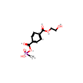 CP(=O)(O)OC(=O)c1ccc(C(=O)OCCO)cc1